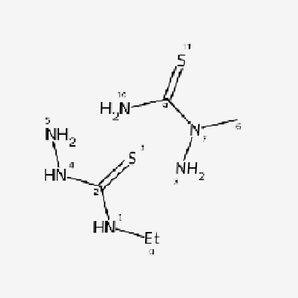 CCNC(=S)NN.CN(N)C(N)=S